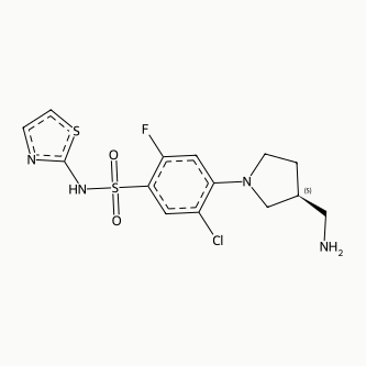 NC[C@@H]1CCN(c2cc(F)c(S(=O)(=O)Nc3nccs3)cc2Cl)C1